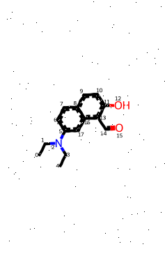 CCN(CC)c1ccc2ccc(O)c(C=O)c2c1